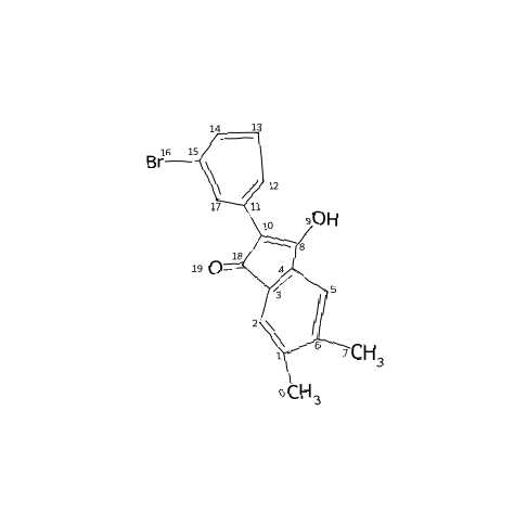 Cc1cc2c(cc1C)C(O)=C(c1cccc(Br)c1)C2=O